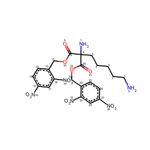 NCCCCCC(N)(C(=O)OCc1ccc([N+](=O)[O-])cc1[N+](=O)[O-])C(=O)OCc1ccc([N+](=O)[O-])cc1[N+](=O)[O-]